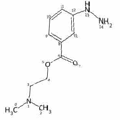 CN(C)CCOC(=O)c1cccc(NN)c1